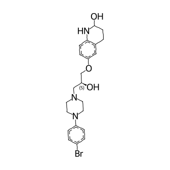 OC1CCc2cc(OC[C@@H](O)CN3CCN(c4ccc(Br)cc4)CC3)ccc2N1